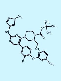 CCC1CN(c2nc(Nc3cnn(C)c3)ncc2-c2ccc(Oc3nccc(C)n3)c(F)c2)CCN1C(=O)OC(C)(C)C